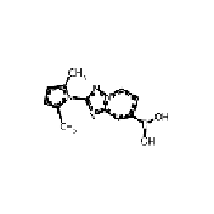 Cc1ccc(C)n1-c1nc2cc(B(O)O)ccn2n1